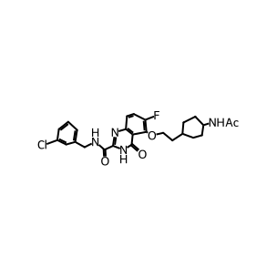 CC(=O)NC1CCC(CCOc2c(F)ccc3nc(C(=O)NCc4cccc(Cl)c4)[nH]c(=O)c23)CC1